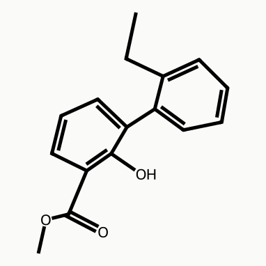 CCc1ccccc1-c1cccc(C(=O)OC)c1O